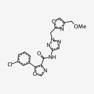 COCc1coc(Cn2ncc(NC(=O)c3ncoc3-c3cccc(Cl)c3)n2)n1